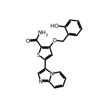 NC(=O)c1sc(-c2cnc3ccccn23)cc1OCc1ccccc1O